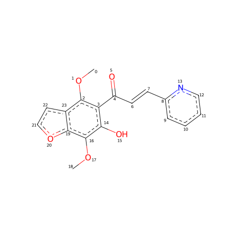 COc1c(C(=O)C=Cc2ccccn2)c(O)c(OC)c2occc12